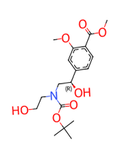 COC(=O)c1ccc([C@@H](O)CN(CCO)C(=O)OC(C)(C)C)cc1OC